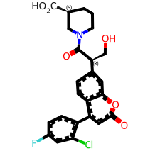 O=C(O)[C@H]1CCCN(C(=O)[C@@H](CO)c2ccc3c(-c4ccc(F)cc4Cl)cc(=O)oc3c2)C1